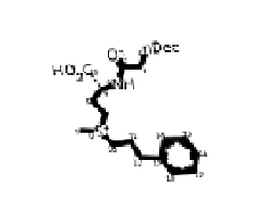 CCCCCCCCCCCC(=O)N[C@H](CC[S+](C)CCCc1ccccc1)C(=O)O